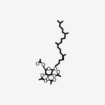 CC(=O)OC[C@H]1OC(OCCCC=C(C)CCCC(C)CCCC(C)CCCC(C)C)[C@H](OC(C)=O)[C@@H](OC(C)=O)[C@@H]1OC(C)=O